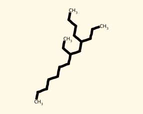 CCCCCCCC([CH]C(CCC)CCCC)CC